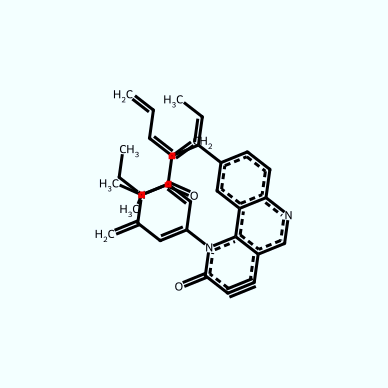 C=C/C=C\C(=C/C)c1ccc2ncc3c#cc(=O)n(C(/C=C\C(C)C)=C/C(=C)N(CC)C(=O)C=C)c3c2c1